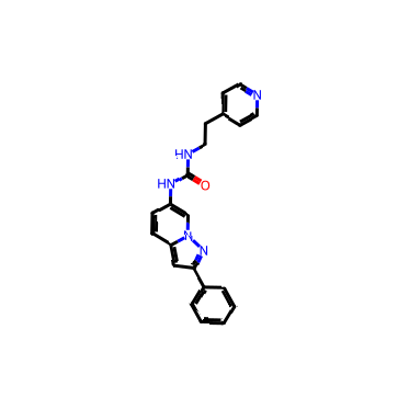 O=C(NCCc1ccncc1)Nc1ccc2cc(-c3ccccc3)nn2c1